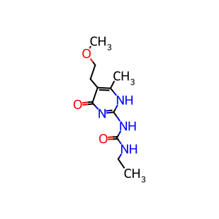 CCNC(=O)Nc1nc(=O)c(CCOC)c(C)[nH]1